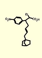 CCC(C(=O)O)C(CC=CCC12CCC(CC1)C2)c1ccc([N+](=O)[O-])cc1